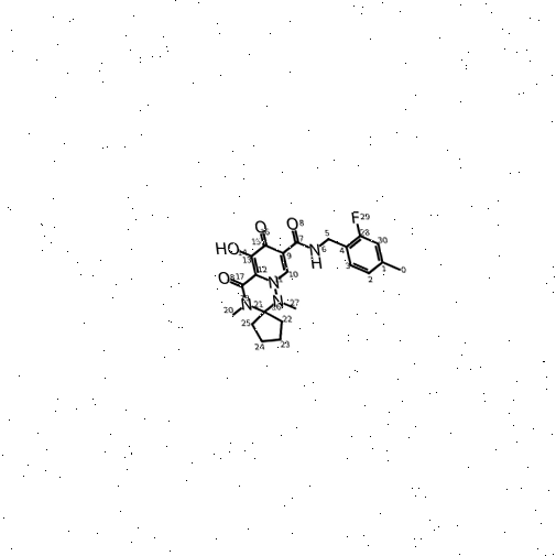 Cc1ccc(CNC(=O)c2cn3c(c(O)c2=O)C(=O)N(C)C2(CCCC2)N3C)c(F)c1